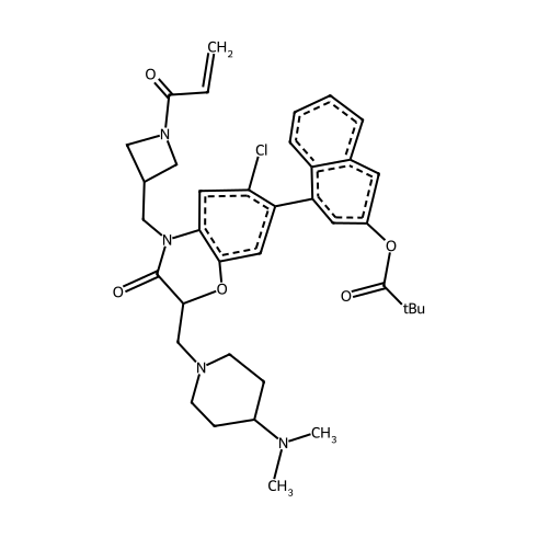 C=CC(=O)N1CC(CN2C(=O)C(CN3CCC(N(C)C)CC3)Oc3cc(-c4cc(OC(=O)C(C)(C)C)cc5ccccc45)c(Cl)cc32)C1